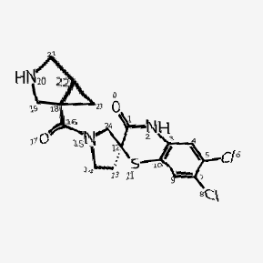 O=C1Nc2cc(Cl)c(Cl)cc2S[C@]12CCN(C(=O)[C@@]13CNCC1C3)C2